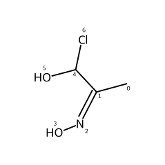 CC(=NO)C(O)Cl